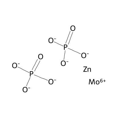 O=P([O-])([O-])[O-].O=P([O-])([O-])[O-].[Mo+6].[Zn]